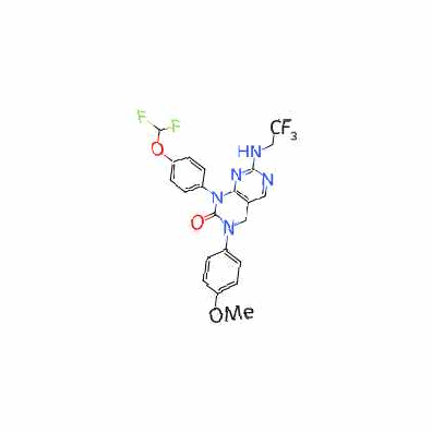 COc1ccc(N2Cc3cnc(NCC(F)(F)F)nc3N(c3ccc(OC(F)F)cc3)C2=O)cc1